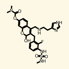 CNS(=O)(=O)Nc1cccc(CC2=C(CNCCc3c[nH]cn3)c3ccc(OC(=O)N(C)C)cc3OC2O)c1F